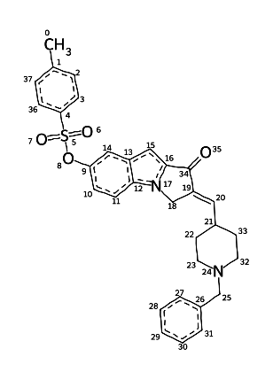 Cc1ccc(S(=O)(=O)Oc2ccc3c(c2)cc2n3CC(=CC3CCN(Cc4ccccc4)CC3)C2=O)cc1